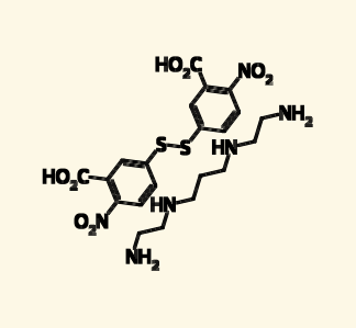 NCCNCCCNCCN.O=C(O)c1cc(SSc2ccc([N+](=O)[O-])c(C(=O)O)c2)ccc1[N+](=O)[O-]